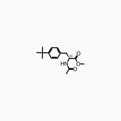 COC(=O)[C@H](Cc1ccc(C(C)(C)C)cc1)NC(C)=O